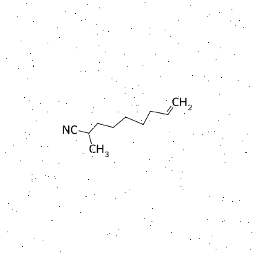 C=CCCCCCC(C)C#N